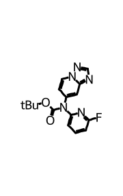 CC(C)(C)OC(=O)N(c1ccn2ncnc2c1)c1cccc(F)n1